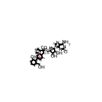 COc1cccc(CO)c1-c1ccc(C[C@](OC[C@H]2O[C@@H](n3cnc4c(N)nc(Cl)nc43)[C@H](O)[C@@H]2O)(C(=O)O)c2cscn2)cc1